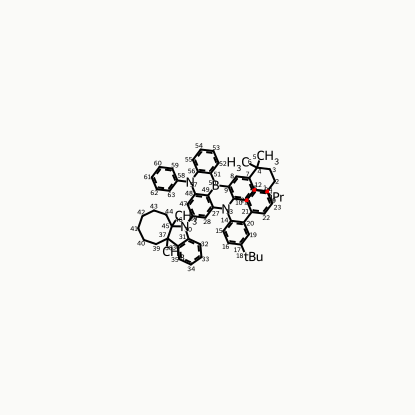 CC(C)C1CCC(C)(C)c2cc3c(cc21)N(c1ccc(C(C)(C)C)cc1-c1ccccc1)c1cc(N2c4ccccc4C4(C)CCCCCCC24C)cc2c1B3c1ccccc1N2c1ccccc1